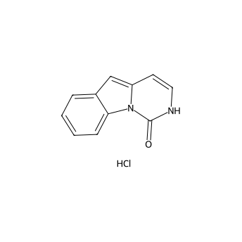 Cl.O=c1[nH]ccc2cc3ccccc3n12